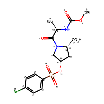 CC(C)(C)OC(=O)N[C@H](C(=O)N1C[C@@H](OS(=O)(=O)c2ccc(Br)cc2)C[C@H]1C(=O)O)C(C)(C)C